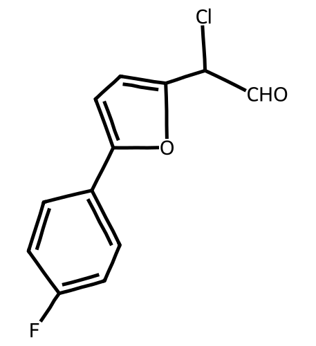 O=CC(Cl)c1ccc(-c2ccc(F)cc2)o1